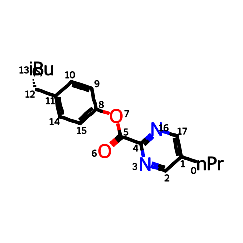 CCCc1cnc(C(=O)Oc2ccc(C[C@@H](C)CC)cc2)nc1